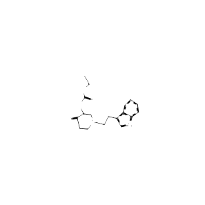 CCOC(=O)OC1CN(CCc2c[nH]c3ccccc23)CCC1=O